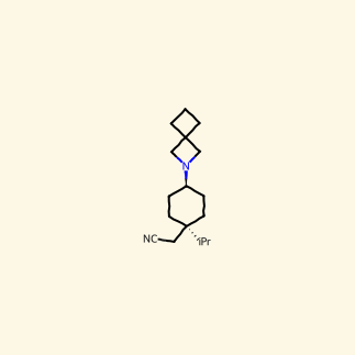 CC(C)[C@]1(CC#N)CC[C@@H](N2CC3(CCC3)C2)CC1